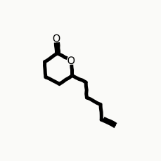 C=CCCCC1CCCC(=O)O1